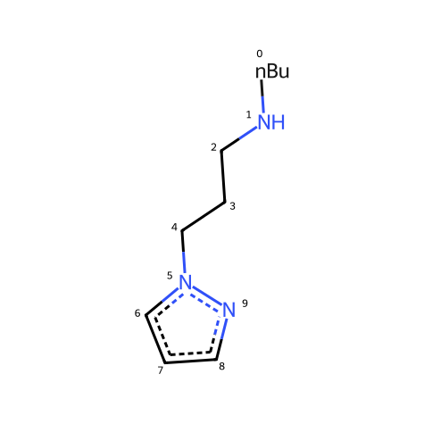 CCCCNCCCn1cccn1